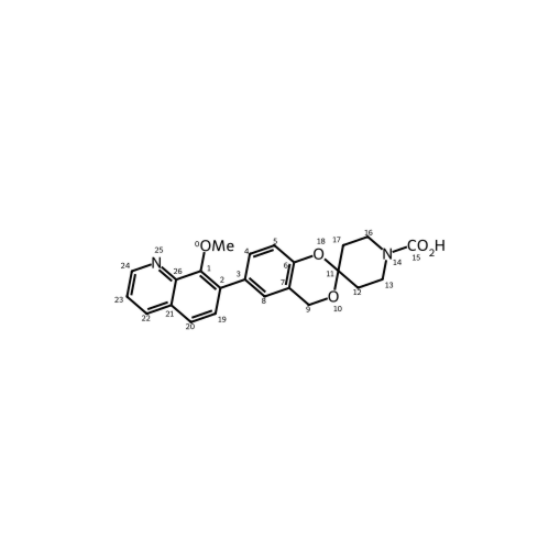 COc1c(-c2ccc3c(c2)COC2(CCN(C(=O)O)CC2)O3)ccc2cccnc12